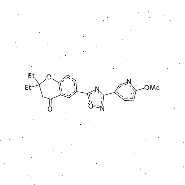 CCC1(CC)CC(=O)c2cc(-c3nc(-c4ccc(OC)nc4)no3)ccc2O1